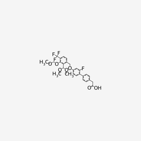 COCOc1c(C(F)(F)F)ccc(COc2ccc(-c3ccc(CC(=O)O)cc3)c(F)c2)c1C(OC)OC